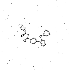 CCOC(=O)CC(=O)c1ccc(-c2ccccc2Oc2ccccc2)cc1